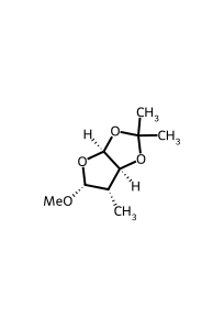 CO[C@@H]1O[C@H]2OC(C)(C)O[C@H]2[C@@H]1C